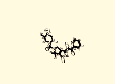 CCN1C[C@H](C)N(C(=O)N2Cc3c(NC(=O)c4ccccn4)n[nH]c3C2(C)C)CC1C